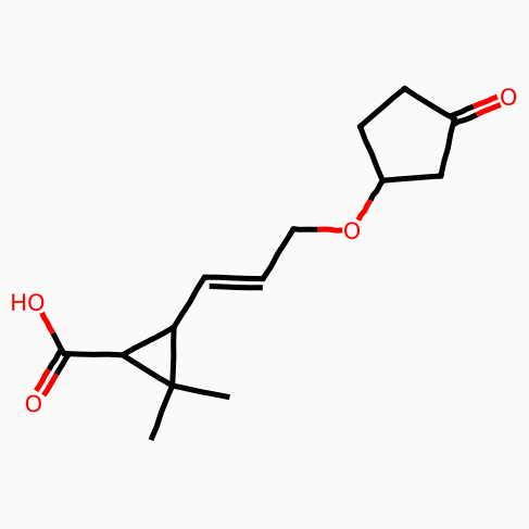 CC1(C)C(C=CCOC2CCC(=O)C2)C1C(=O)O